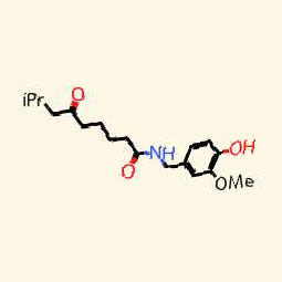 COc1cc(CNC(=O)CCCCC(=O)CC(C)C)ccc1O